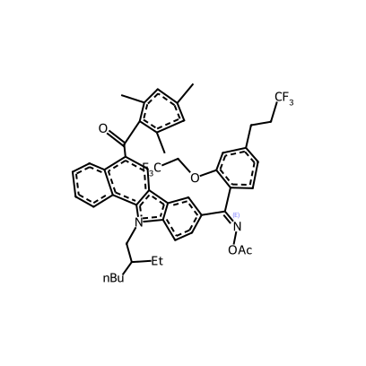 CCCCC(CC)Cn1c2ccc(/C(=N\OC(C)=O)c3ccc(CCC(F)(F)F)cc3OCC(F)(F)F)cc2c2cc(C(=O)c3c(C)cc(C)cc3C)c3ccccc3c21